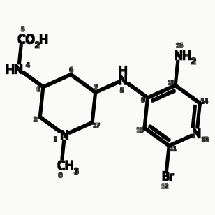 CN1CC(NC(=O)O)CC(Nc2cc(Br)ncc2N)C1